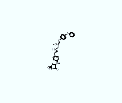 O=C1NC(=O)C(Nc2ccc(CCNC[C@H](O)COc3ccc(Oc4ccccc4)cc3)cc2)S1